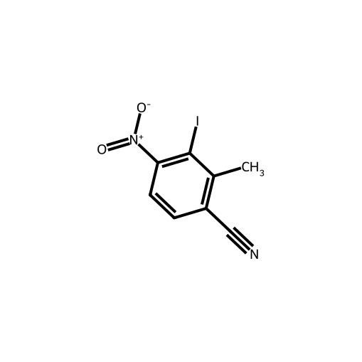 Cc1c(C#N)ccc([N+](=O)[O-])c1I